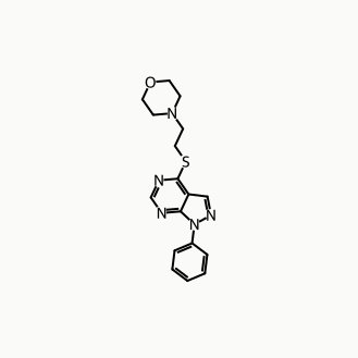 c1ccc(-n2ncc3c(SCCN4CCOCC4)ncnc32)cc1